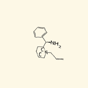 C=CCN1CC2CCC1([C@H](N)c1ccccc1)CC2